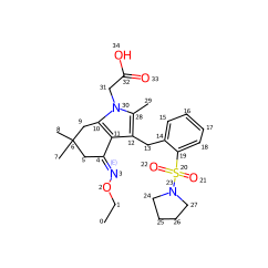 CCO/N=C1\CC(C)(C)Cc2c1c(Cc1ccccc1S(=O)(=O)N1CCCC1)c(C)n2CC(=O)O